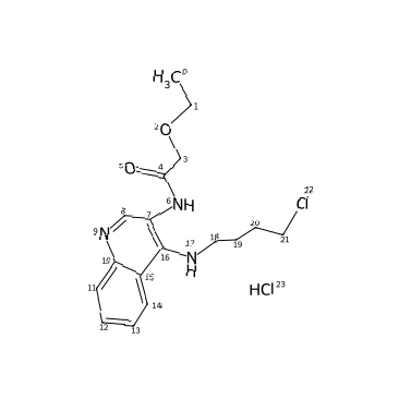 CCOCC(=O)Nc1cnc2ccccc2c1NCCCCCl.Cl